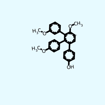 COc1ccc(-c2c(-c3ccc(O)cc3)c[c]c(OC)c2-c2cccc(OC)c2)cc1